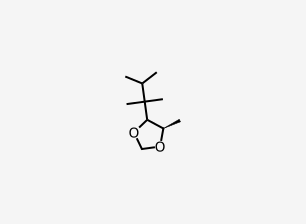 CC(C)C(C)(C)C1OCO[C@@H]1C